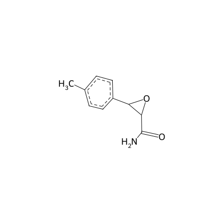 Cc1ccc(C2OC2C(N)=O)cc1